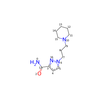 NC(=O)c1ccn(CCCN2CCCCC2)n1